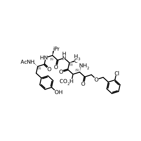 CC(=O)N[C@@H](Cc1ccc(O)cc1)C(=O)N[C@H](C(=O)N[C@@H](C)C(=O)C(C(=O)O)[C@H](N)C(=O)COCc1ccccc1Cl)C(C)C